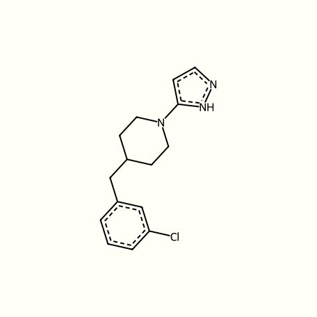 Clc1cccc(CC2CCN(c3ccn[nH]3)CC2)c1